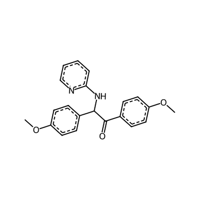 COc1ccc(C(=O)C(Nc2ccccn2)c2ccc(OC)cc2)cc1